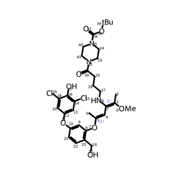 CO/C(C)=C(\C=C(/C)Oc1cc(Oc2cc(Cl)c(O)c(Cl)c2)ccc1CO)NCCCC(=O)N1CCN(C(=O)OC(C)(C)C)CC1